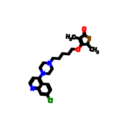 CC1=C(OCCCCCN2CCN(c3ccnc4cc(Cl)ccc34)CC2)C(C)SC1=O